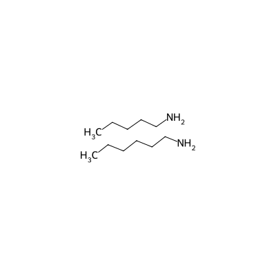 CCCCCCN.CCCCCN